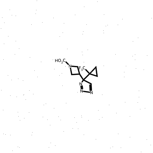 O=C(O)N1CC(C2(C3(C(F)(F)F)CC3)C=NN=N2)C1